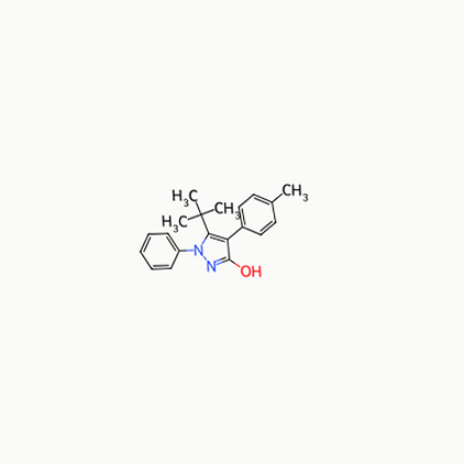 Cc1ccc(-c2c(O)nn(-c3ccccc3)c2C(C)(C)C)cc1